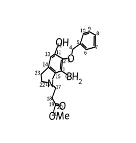 Bc1c(OCc2ccccc2)c(O)cc2c1N(CCC(=O)OC)CC2